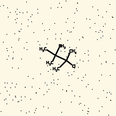 BC(C)(C)C(C)(C)Cl